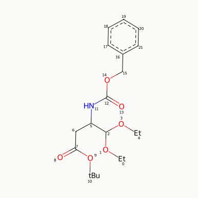 CCOC(OCC)C(CC(=O)OC(C)(C)C)NC(=O)OCc1ccccc1